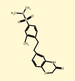 Cc1cc(S(=O)(=O)N(C)C)ccc1CCc1ccc2c(c1)NC(=O)CO2